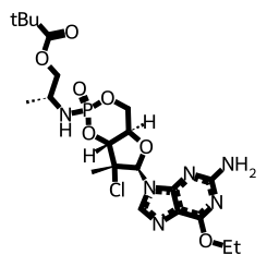 CCOc1nc(N)nc2c1ncn2[C@@H]1O[C@@H]2COP(=O)(N[C@H](C)COC(=O)C(C)(C)C)O[C@H]2[C@@]1(C)Cl